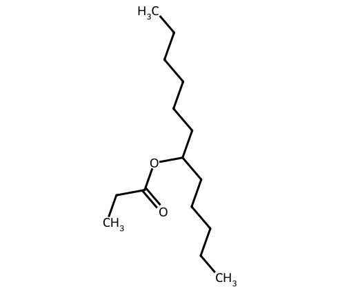 CCCCCCC(CCCCC)OC(=O)CC